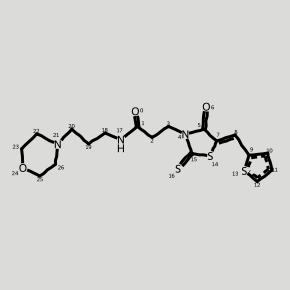 O=C(CCN1C(=O)/C(=C/c2cccs2)SC1=S)NCCCN1CCOCC1